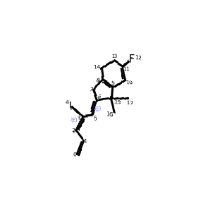 C=C/C=C(I)\C=C1/CC2=C(C=C(F)CC2)C1(C)C